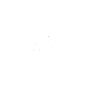 O=C(Cl)c1ccc(-c2nnc(Cl)o2)cc1Cl